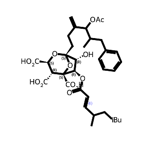 C=C(CC[C@]12O[C@H](C(=O)O)[C@@H](C(=O)O)[C@](C(=O)O)(O1)[C@H](OC(=O)/C=C/C(C)CC(C)CC)[C@H]2O)C(OC(C)=O)C(C)Cc1ccccc1